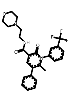 Cc1c(-c2ccccc2)cc(C(=O)NCCN2CCOCC2)c(=O)n1-c1cccc(C(F)(F)F)c1